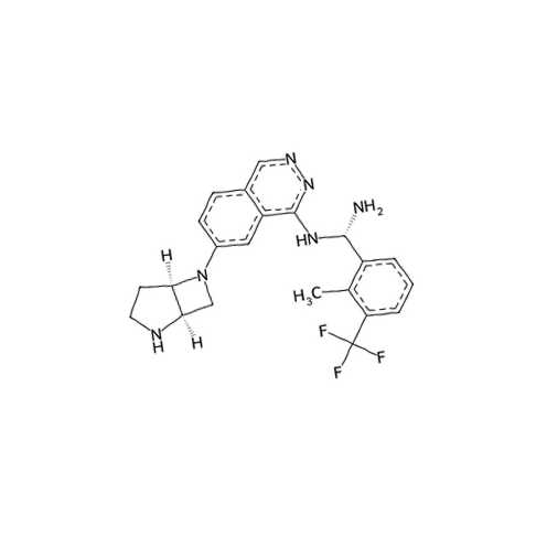 Cc1c([C@@H](N)Nc2nncc3ccc(N4C[C@H]5NCC[C@H]54)cc23)cccc1C(F)(F)F